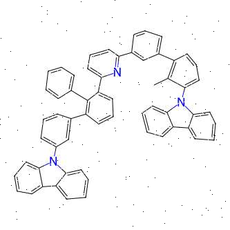 Cc1c(-c2cccc(-c3cccc(-c4cccc(-c5cccc(-n6c7ccccc7c7ccccc76)c5)c4-c4ccccc4)n3)c2)cccc1-n1c2ccccc2c2ccccc21